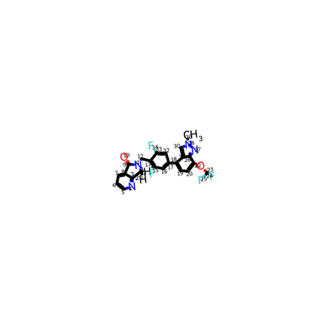 [2H]C1([2H])c2ncccc2C(=O)N1Cc1c(F)cc(-c2ccc(OC(F)F)c3nn(C)cc23)cc1F